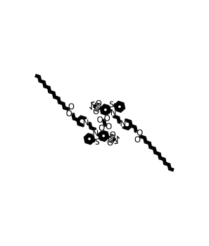 CCCCCCCCCCCCCC(=O)OCCC1CCN(CCCN2c3ccccc3Sc3cc(S(=O)(=O)N(C)C)cc(OC(=O)C(=O)Oc4cc(S(=O)(=O)N(C)C)cc5c4N(CCCN4CCC(CCOC(=O)CCCCCCCCCCCCC)CC4)c4ccccc4S5)c32)CC1